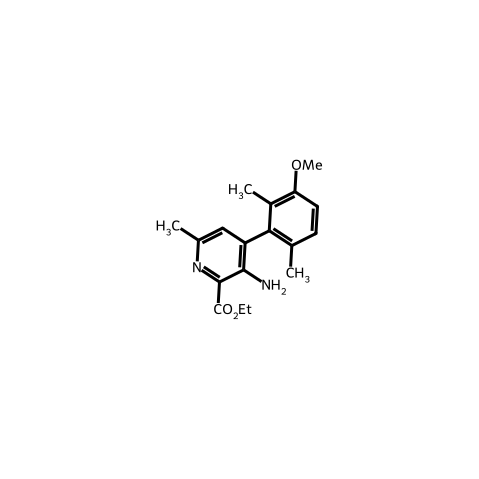 CCOC(=O)c1nc(C)cc(-c2c(C)ccc(OC)c2C)c1N